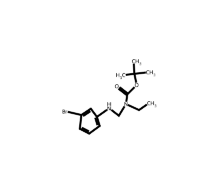 CCN(CNc1cccc(Br)c1)C(=O)OC(C)(C)C